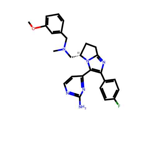 COc1cccc(CN(C)C[C@@H]2CCc3nc(-c4ccc(F)cc4)c(-c4ccnc(N)n4)n32)c1